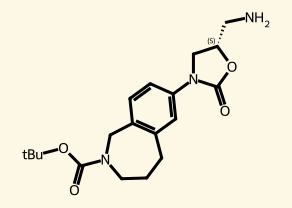 CC(C)(C)OC(=O)N1CCCc2cc(N3C[C@H](CN)OC3=O)ccc2C1